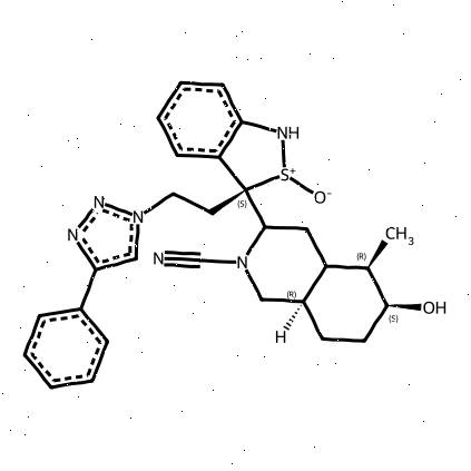 C[C@@H]1C2CC([C@]3(CCn4cc(-c5ccccc5)nn4)c4ccccc4N[S+]3[O-])N(C#N)C[C@@H]2CC[C@@H]1O